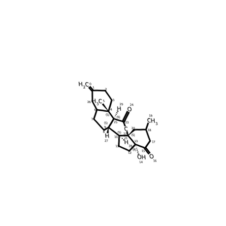 C=C1CC[C@@]2(C)C(CC[C@H]3[C@@H]4CC[C@]5(O)C(=O)CC(C)C[C@]45CC(=O)[C@@H]32)C1